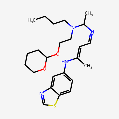 CCCCN(CCOC1CCCCO1)C(C)/N=C\C=C(/C)Nc1ccc2scnc2c1